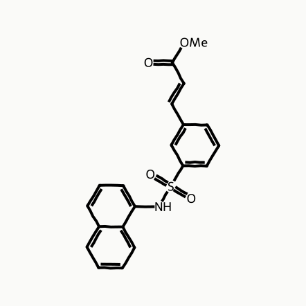 COC(=O)C=Cc1cccc(S(=O)(=O)Nc2cccc3ccccc23)c1